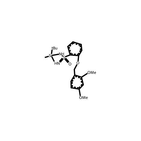 COc1ccc(COc2ccccc2S(=N)(=O)N[Si](C)(C)C(C)(C)C)c(OC)c1